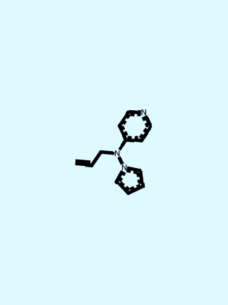 C=CCN(c1ccncc1)n1cccc1